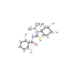 CCC(C(=O)O)n1/c(=N/C(=O)c2c(F)cccc2F)sc2cc(F)c(F)cc21